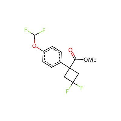 COC(=O)C1(c2ccc(OC(F)F)cc2)CC(F)(F)C1